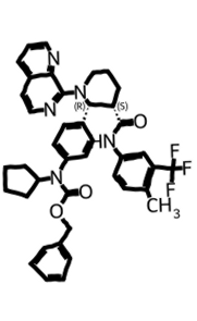 Cc1ccc(NC(=O)[C@H]2CCCN(c3nccc4cccnc34)[C@H]2c2ccc(N(C(=O)OCc3ccccc3)C3CCCC3)cc2)cc1C(F)(F)F